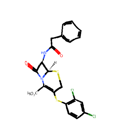 O=C(Cc1ccccc1)N[C@@H]1C(=O)N2C(C(=O)O)=C(Sc3ccc(Cl)cc3Cl)CS[C@H]12